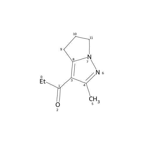 CCC(=O)c1c(C)nn2c1CCC2